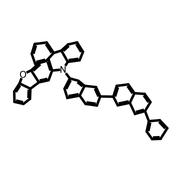 c1ccc(-c2ccc3ccc(-c4ccc5ccc(N(c6ccc7oc8ccccc8c7c6)c6ccccc6-c6ccccc6)cc5c4)cc3c2)cc1